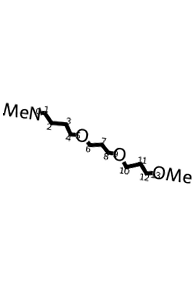 CNCCCCOCCCOCCCOC